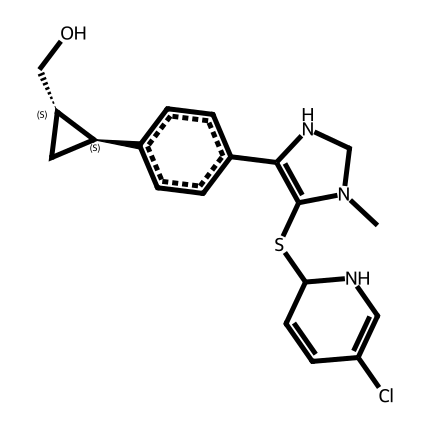 CN1CNC(c2ccc([C@H]3C[C@@H]3CO)cc2)=C1SC1C=CC(Cl)=CN1